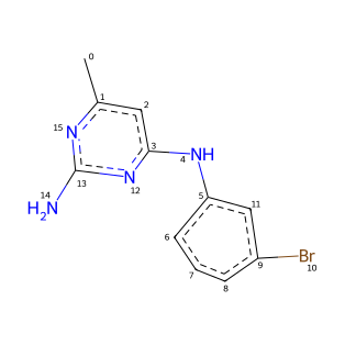 Cc1cc(Nc2cccc(Br)c2)nc(N)n1